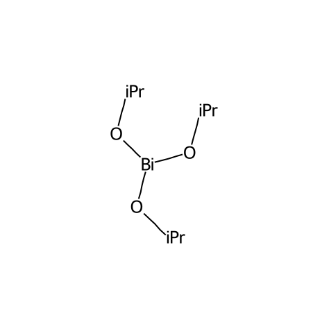 CC(C)[O][Bi]([O]C(C)C)[O]C(C)C